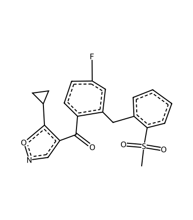 CS(=O)(=O)c1ccccc1Cc1cc(F)ccc1C(=O)c1cnoc1C1CC1